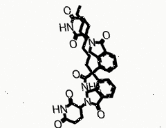 CCCCCCCCC(C(N)=O)(c1cccc2c1CN(C1CCC(=O)NC1=O)C2=O)c1cccc2c1CN(C1CCC(=O)NC1=O)C2=O